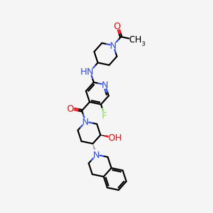 CC(=O)N1CCC(Nc2cc(C(=O)N3CC[C@@H](N4CCc5ccccc5C4)[C@H](O)C3)c(F)cn2)CC1